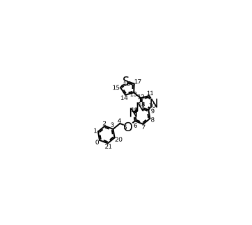 c1ccc(COc2ccc3ncc(-c4ccsc4)n3n2)cc1